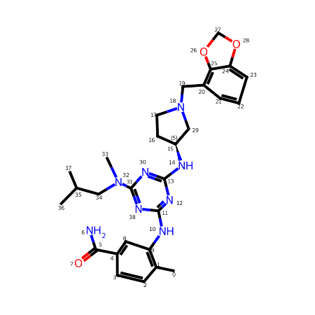 Cc1ccc(C(N)=O)cc1Nc1nc(N[C@H]2CCN(Cc3cccc4c3OCO4)C2)nc(N(C)CC(C)C)n1